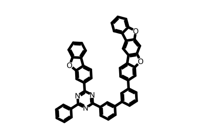 c1ccc(-c2nc(-c3cccc(-c4cccc(-c5ccc6c(c5)oc5cc7oc8ccccc8c7cc56)c4)c3)nc(-c3ccc4c(c3)oc3ccccc34)n2)cc1